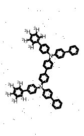 [2H]c1c([2H])c([2H])c(-c2ccc(N(c3ccc(-c4ccccc4)cc3)c3ccc(-c4ccc(N(c5ccc(-c6ccccc6)cc5)c5ccc(-c6c([2H])c([2H])c([2H])c([2H])c6[2H])cc5)cc4)cc3)cc2)c([2H])c1[2H]